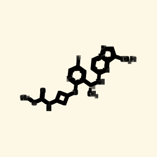 CCOC(=O)c1cnn2ccc(N[C@H](C)c3cc(F)cnc3OC3CC(NC(=O)OC(C)(C)C)C3)nc12